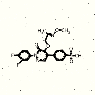 CON=C(C)COc1c(-c2ccc(S(C)(=O)=O)cc2)cnn(-c2ccc(F)c(F)c2)c1=O